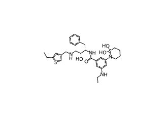 CCNc1cc(C(=O)N[C@@H](Cc2ccccc2)[C@H](O)CNCc2csc(CC)c2)cc(N2CCCCS2(O)O)c1